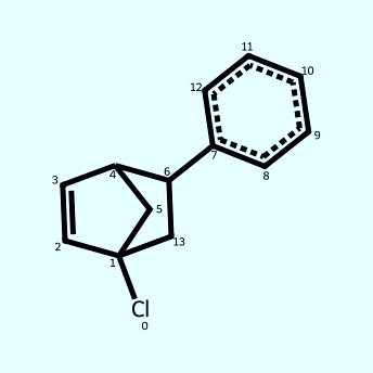 ClC12C=CC(C1)C(c1ccccc1)C2